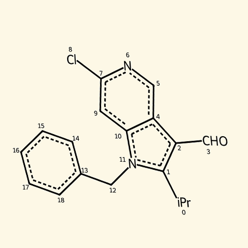 CC(C)c1c(C=O)c2cnc(Cl)cc2n1Cc1ccccc1